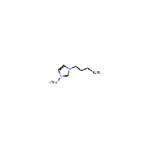 CCCCCCCCCCCN1C=CN(CCCCC)C1